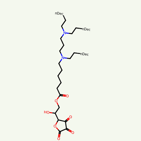 CCCCCCCCCCCCN(CCCCCCCCCCCC)CCCN(CCCCCCCCCCCC)CCCCCC(=O)OCC(O)C1OC(=O)C(=O)C1=O